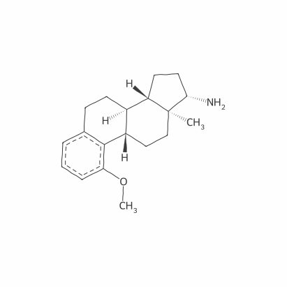 COc1cccc2c1[C@H]1CC[C@]3(C)[C@@H](N)CC[C@H]3[C@@H]1CC2